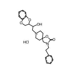 Cl.O=C1OC2(CCN(CC(O)C3COc4ccccc4O3)CC2)CN1CCc1ccccc1